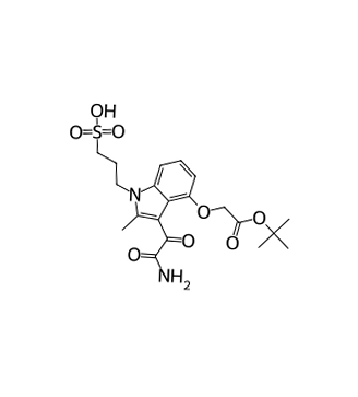 Cc1c(C(=O)C(N)=O)c2c(OCC(=O)OC(C)(C)C)cccc2n1CCCS(=O)(=O)O